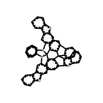 c1ccc(N(c2ccc3oc4ccccc4c3c2)C2(N(c3ccccc3)c3ccc4sc5ccccc5c4c3)c3cccc4c3C3(c5ccccc5-4)c4c(cccc42)-c2sc4ccccc4c23)cc1